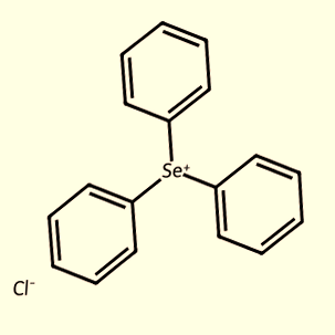 [Cl-].c1ccc([Se+](c2ccccc2)c2ccccc2)cc1